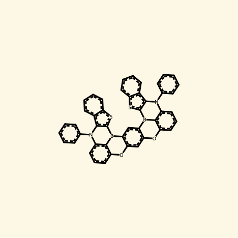 c1ccc(N2c3cccc4c3B(c3cc5c(cc3O4)Oc3cccc4c3B5c3sc5ccccc5c3N4c3ccccc3)c3sc4ccccc4c32)cc1